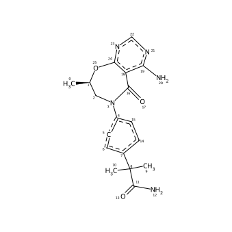 C[C@@H]1CN(c2ccc(C(C)(C)C(N)=O)cc2)C(=O)c2c(N)ncnc2O1